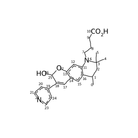 CC1CC(C)(C)N(CCCC(=O)O)c2cc3c(cc21)C=C(c1ccncc1)C(O)O3